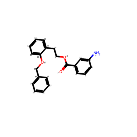 Nc1cccc(C(=O)OCCc2ccccc2OCc2ccccc2)c1